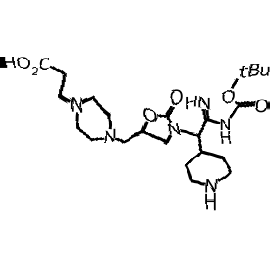 CC(C)(C)OC(=O)NC(=N)C(C1CCNCC1)N1CC(CN2CCN(CCC(=O)O)CC2)OC1=O